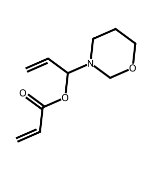 C=CC(=O)OC(C=C)N1CCCOC1